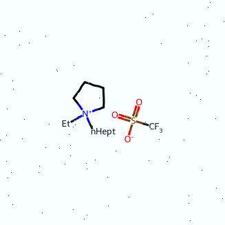 CCCCCCC[N+]1(CC)CCCC1.O=S(=O)([O-])C(F)(F)F